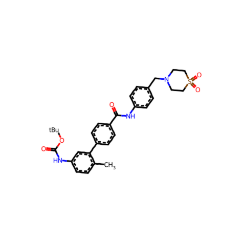 Cc1ccc(NC(=O)OC(C)(C)C)cc1-c1ccc(C(=O)Nc2ccc(CN3CCS(=O)(=O)CC3)cc2)cc1